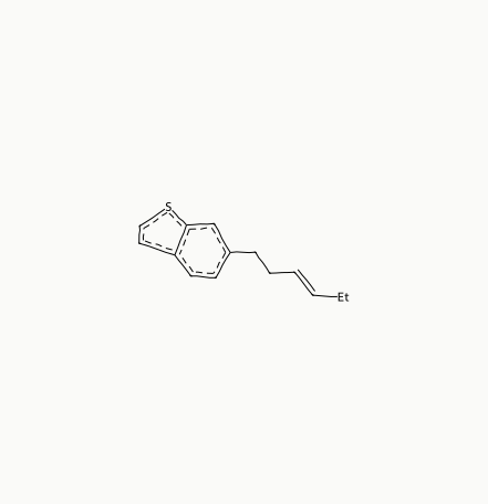 [CH2]CC=CCCc1ccc2ccsc2c1